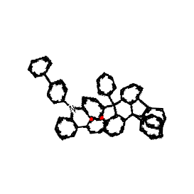 c1ccc(-c2ccc(N(c3ccc(C4(c5ccccc5)c5ccccc5C5(c6ccccc6)c6ccccc6-c6cccc4c65)cc3)c3ccccc3-c3ccccc3)cc2)cc1